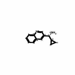 N[C@@H](c1cnc2ccccc2c1)C1CC1